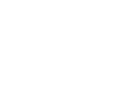 C1CCCCCCCCCC1